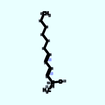 CCCCCC/C=C/C=C/[SiH](C)[O]